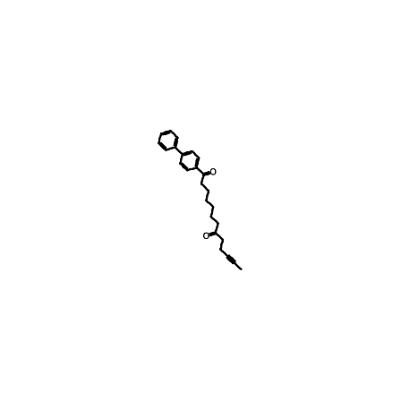 CC#CCCC(=O)CCCCCCC(=O)c1ccc(-c2ccccc2)cc1